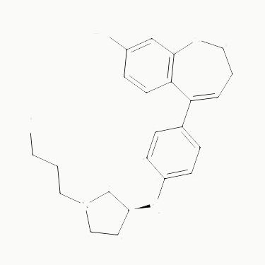 Oc1ccc2c(c1)SCCC=C2c1ccc(O[C@H]2CCN(CCCF)C2)cc1